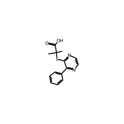 CC(C)(Sc1nccnc1-c1ccccc1)C(=O)O